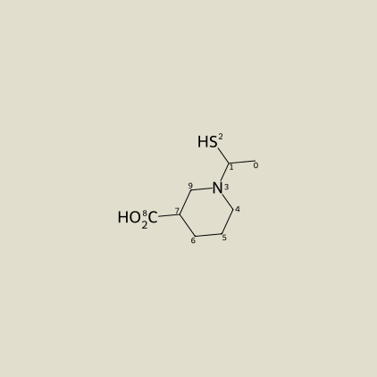 CC(S)N1CCCC(C(=O)O)C1